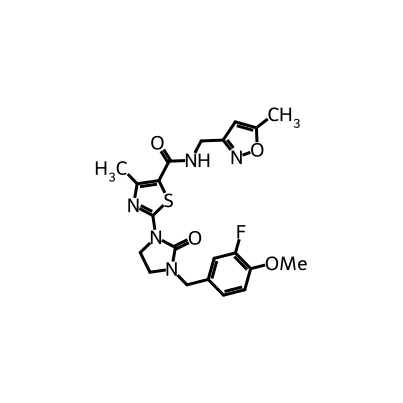 COc1ccc(CN2CCN(c3nc(C)c(C(=O)NCc4cc(C)on4)s3)C2=O)cc1F